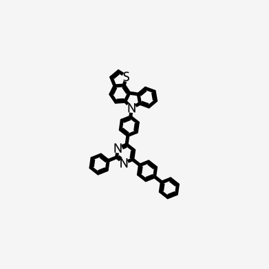 c1ccc(-c2ccc(-c3cc(-c4ccc(-n5c6ccccc6c6c7sccc7ccc65)cc4)nc(-c4ccccc4)n3)cc2)cc1